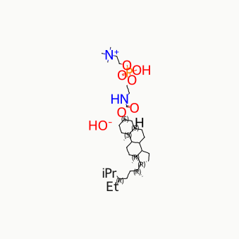 CC[C@H](CC[C@@H](C)[C@H]1CCC2C3CC[C@H]4C[C@@H](OC(=O)NCCOP(=O)(O)OCC[N+](C)(C)C)CC[C@]4(C)C3CC[C@@]21C)C(C)C.[OH-]